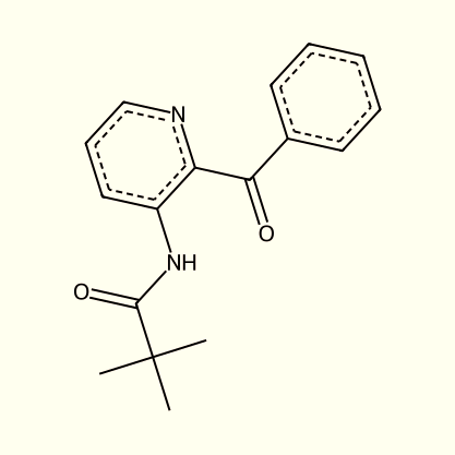 CC(C)(C)C(=O)Nc1cccnc1C(=O)c1ccccc1